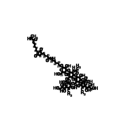 CNC(=O)CCCCCN1C(=O)CC(SCCC(=O)NCCCCCO[C@@H]2OC(CO)[C@H](O)[C@H](O[C@@H]3OC(CO[C@]4(C(=O)O)C[C@@H](O)[C@@H](C)C([C@H](O)[C@H](O)CO)O4)[C@@H](O)[C@H](O[C@@H]4OC(CO)[C@H](O)[C@H](O[C@@]5(C(=O)O)CC(O)[C@H](C)C([C@H](O)[C@H](O)CO)O5)C4O)C3NC(C)=O)C2O)C1=O